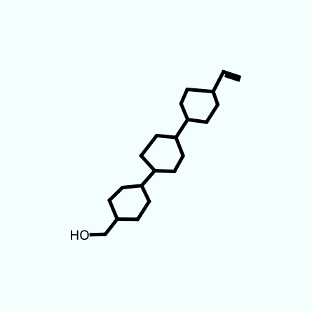 C=CC1CCC(C2CCC(C3CCC(CO)CC3)CC2)CC1